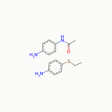 CC(=O)Nc1ccc(N)cc1.CCSc1ccc(N)cc1